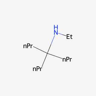 CCCC(CCC)(CCC)NCC